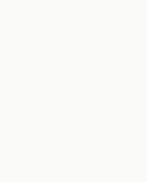 FCC1[CH]OCC1